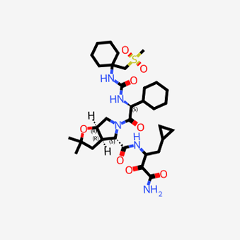 CC1(C)C[C@H]2[C@H](CN(C(=O)[C@@H](NC(=O)NC3(CS(C)(=O)=O)CCCCC3)C3CCCCC3)[C@@H]2C(=O)NC(CC2CC2)C(=O)C(N)=O)O1